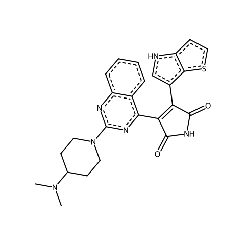 CN(C)C1CCN(c2nc(C3=C(c4c[nH]c5ccsc45)C(=O)NC3=O)c3ccccc3n2)CC1